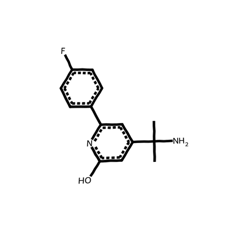 CC(C)(N)c1cc(O)nc(-c2ccc(F)cc2)c1